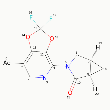 CC(=O)c1cnc(N2C[C@H]3C[C@H]3C2=O)c2c1OC(F)(F)O2